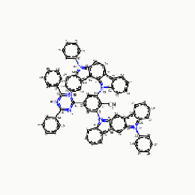 N#Cc1c(-n2c3ccccc3c3cc4c(cc32)c2ccccc2n4-c2ccccc2)cc(-c2nc(-c3ccccc3)nc(-c3ccccc3)n2)cc1-n1c2ccccc2c2ccc3c(c4ccccc4n3-c3ccccc3)c21